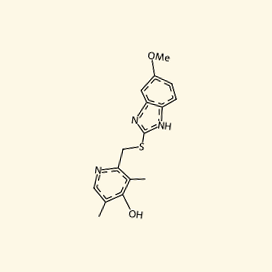 COc1ccc2[nH]c(SCc3ncc(C)c(O)c3C)nc2c1